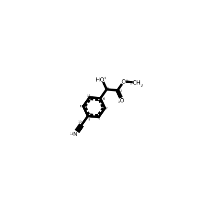 COC(=O)C(O)c1ccc(C#N)cc1